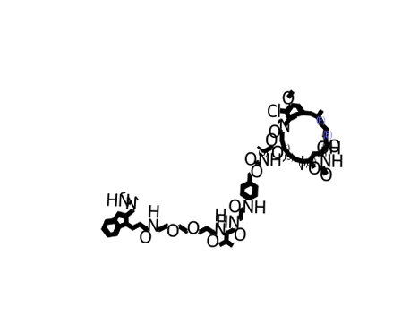 CNN(C)CC1=Cc2ccccc2C1CCC(=O)NCCOCCOCCC(=O)NC(C(=O)NCC(=O)Nc1ccc(COC(=O)N[C@@H](C)C(=O)O[C@H]2CC(=O)N(C)c3cc(cc(OC)c3Cl)C/C(C)=C/C=C/[C@@H](OC)[C@@]3(O)C[C@H](OC(=O)N3)[C@@H](C)C[C@@H]2C)cc1)C(C)C